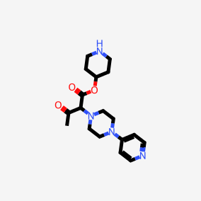 CC(=O)C(C(=O)OC1CCNCC1)N1CCN(c2ccncc2)CC1